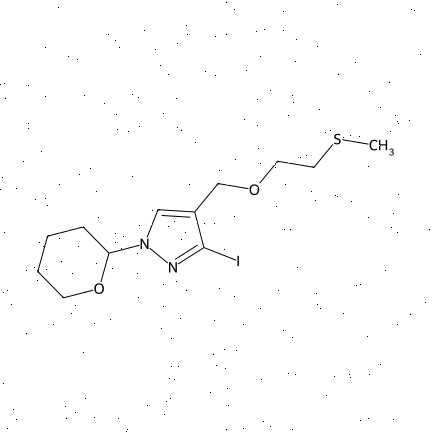 CSCCOCc1cn(C2CCCCO2)nc1I